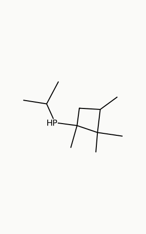 CC(C)PC1(C)CC(C)C1(C)C